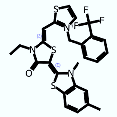 CCn1c(=O)/c(=C2\Sc3ccc(C)cc3N2C)s/c1=C\c1scc[n+]1Cc1ccccc1C(F)(F)F